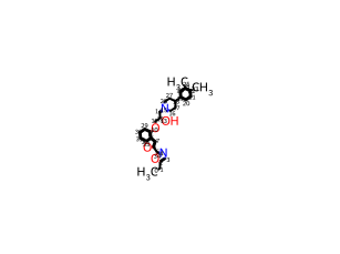 CCc1cnc(-c2cc3c(OC[C@@H](O)CN4CCC(c5ccc(C)c(C)c5)CC4)cccc3o2)o1